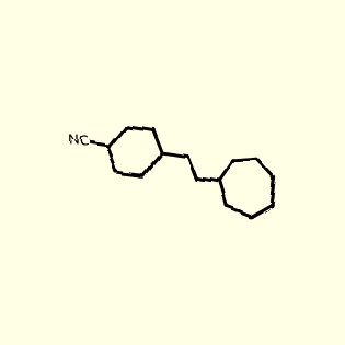 N#CC1CCC(CCC2CCCCCC2)CC1